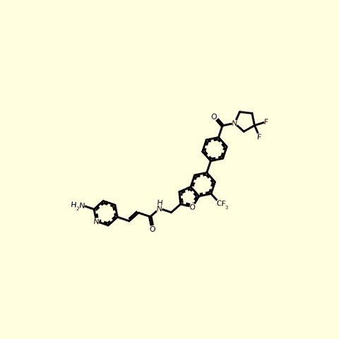 Nc1ccc(C=CC(=O)NCc2cc3cc(-c4ccc(C(=O)N5CCC(F)(F)C5)cc4)cc(C(F)(F)F)c3o2)cn1